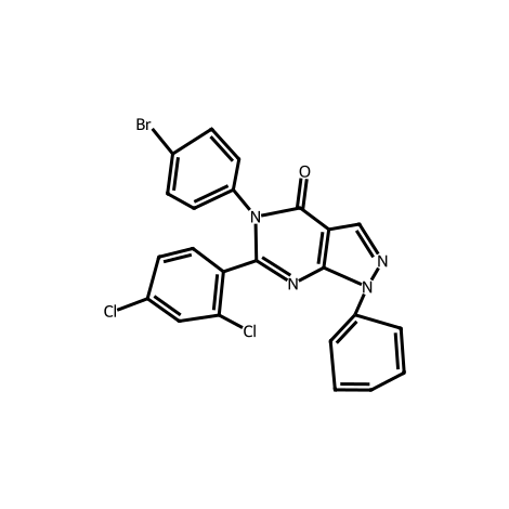 O=c1c2cnn(-c3ccccc3)c2nc(-c2ccc(Cl)cc2Cl)n1-c1ccc(Br)cc1